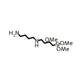 CO[Si](CCCCNCCCCN)(OC)OC